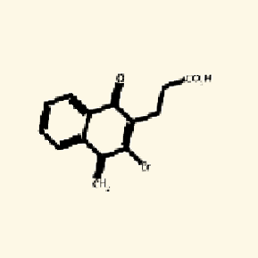 C=C1C(Br)=C(CCC(=O)O)C(=O)c2ccccc21